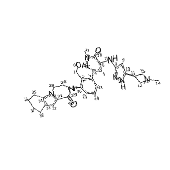 CC(=O)OCc1c(-c2cc(Nc3cc(C4CN(C)C4)[nH]n3)c(=O)n(C)c2)cccc1N1CCn2c(cc3c2CCCC3)C1=O